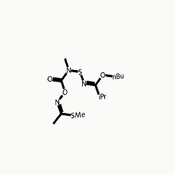 CCCCO/C(=N\SN(C)C(=O)O/N=C(/C)SC)C(C)C